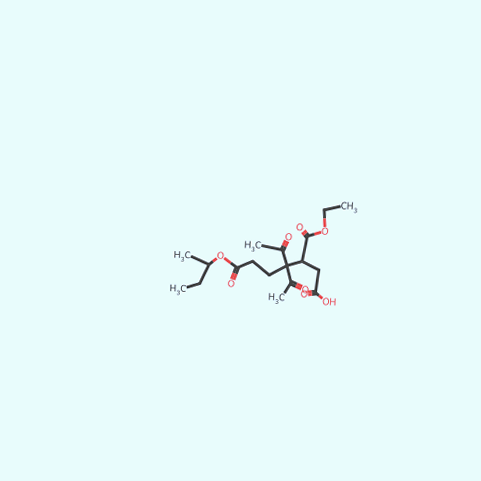 CCOC(=O)C(CC(=O)O)C(CCC(=O)OC(C)CC)(C(C)=O)C(C)=O